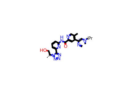 C=N/C(=C\N(C)C(C)C)c1cc(C(=O)Nc2cccc(-c3nnnn3[C@H](C)CO)n2)ncc1C